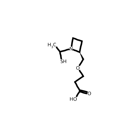 CC(S)N1CC[C@H]1COCCC(=O)O